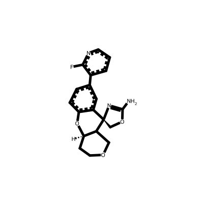 NC1=N[C@@]2(CO1)c1cc(-c3cccnc3F)ccc1O[C@@H]1CCOCC12